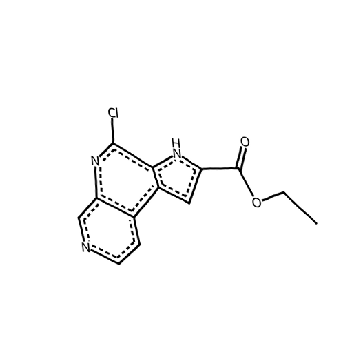 CCOC(=O)c1cc2c([nH]1)c(Cl)nc1cnccc12